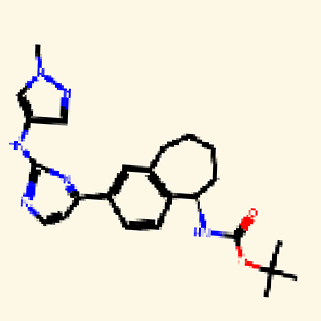 Cn1cc(Nc2nccc(-c3ccc4c(c3)CCCC[C@H]4NC(=O)OC(C)(C)C)n2)cn1